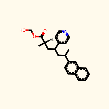 CCC(C)(CC(CC(C)c1ccc2ccccc2c1)c1ccncc1)C(=O)OCO